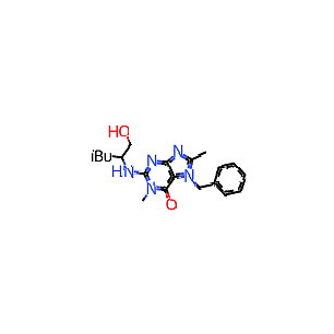 CCC(C)C(CO)Nc1nc2nc(C)n(Cc3ccccc3)c2c(=O)n1C